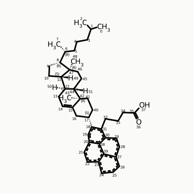 CC(C)CCC[C@@H](C)[C@H]1CC[C@H]2[C@@H]3CC=C4C[C@@H](c5cc6ccc7cccc8ccc(c5CCCC(=O)O)c6c78)CC[C@]4(C)[C@H]3CC[C@]12C